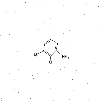 CCc1cccc(N)c1Cl